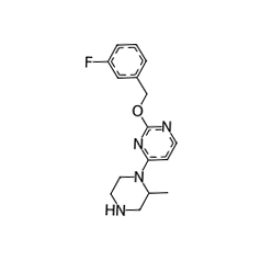 CC1CNCCN1c1ccnc(OCc2cccc(F)c2)n1